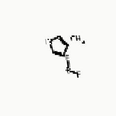 C.F[B]F.c1cc[nH]c1